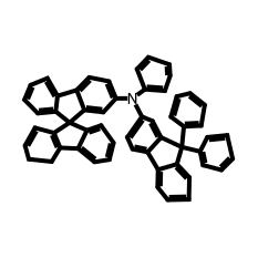 C1=CC2=C(CC1)c1ccccc1C21c2ccccc2-c2ccc(N(c3ccccc3)c3ccc4c(c3)C(c3ccccc3)(c3ccccc3)c3ccccc3-4)cc21